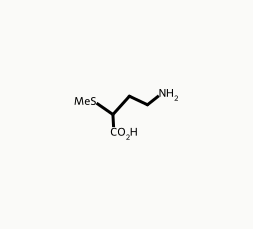 CSC(CCN)C(=O)O